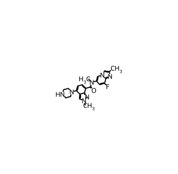 Cc1cn2cc(N(C)C(=O)c3ccc(N4CCNCC4)c4cn(C)nc34)cc(F)c2n1